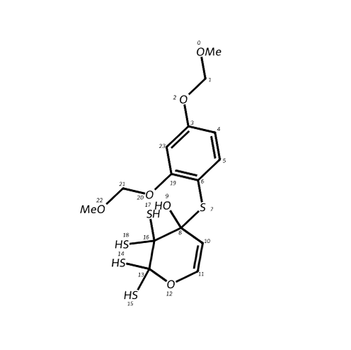 COCOc1ccc(SC2(O)C=COC(S)(S)C2(S)S)c(OCOC)c1